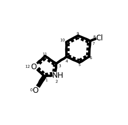 O=c1[nH]c(-c2ccc(Cl)cc2)co1